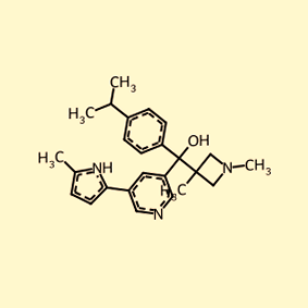 Cc1ccc(-c2cncc(C(O)(c3ccc(C(C)C)cc3)C3(C)CN(C)C3)c2)[nH]1